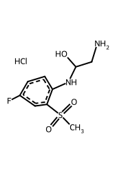 CS(=O)(=O)c1cc(F)ccc1NC(O)CN.Cl